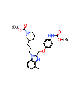 Cc1cccc2c1nc(COc1ccc(NC(=O)OC(C)(C)C)cc1)n2CCCC1CCCN(C(=O)OC(C)(C)C)C1